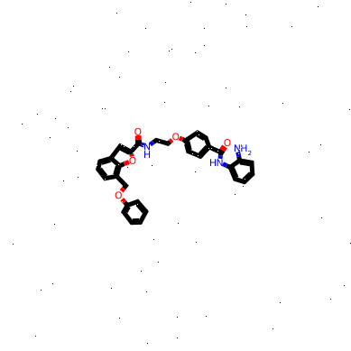 Nc1ccccc1NC(=O)c1ccc(OCCNC(=O)c2cc3cccc(COc4ccccc4)c3o2)cc1